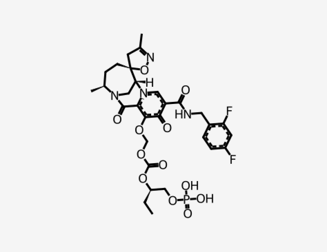 CC[C@H](COP(=O)(O)O)OC(=O)OCOc1c2n(cc(C(=O)NCc3ccc(F)cc3F)c1=O)[C@@H]1CN(C2=O)[C@@H](C)CC[C@]12CC(C)=NO2